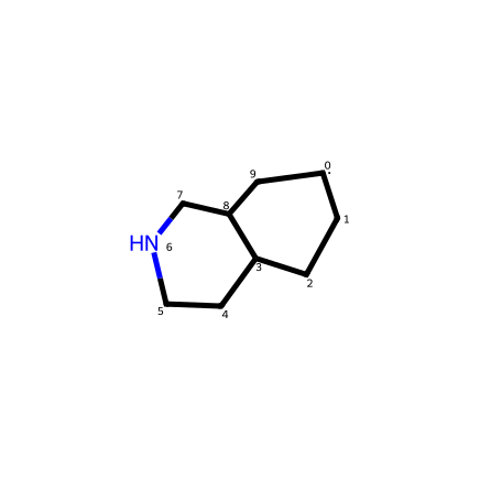 [CH]1CCC2CCNCC2C1